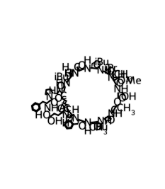 C=C1NC(=O)C([C@@H](C)CC)NC(=O)[C@@H](NC(=O)[C@@H]2CCCN2C(=O)[C@@H](Cc2ccccc2)NC(C)=O)CSSC[C@H](NC(=O)CCC(O)O)C(=O)N[C@H](Cc2ccccc2)C(=O)N[C@H](C)C(=O)NC(C[C@@H](C)CC)C(=O)NC[C@@H](C)OC(=O)[C@H](CO)NC(=O)[C@H]([C@@H](C)OC)N(C)C(=O)[C@@H](C(C)C)NC(=O)[C@H](C[C@H](C)CC)NC1=O